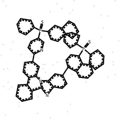 S=P(c1ccccc1)(c1ccc(-c2ccc3c4ccccc4c4nc5ccc(-c6ccc(P(=S)(c7ccccc7)c7ccccc7)c7ccccc67)cc5n4c3c2)nc1)c1ccc2ccccc2c1